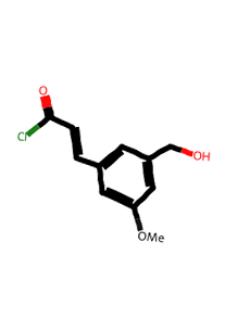 COc1cc(/C=C/C(=O)Cl)cc(CO)c1